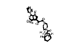 COc1cnc(-n2ccnn2)c2[nH]cc(C(=O)C(=O)N3CCN(C(=O)[C@@]4(C)C[C@@H]5CCC[C@@H](C5)C4)CC3)c12